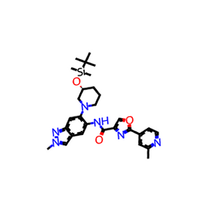 Cc1cc(-c2nc(C(=O)Nc3cc4cn(C)nc4cc3N3CCC[C@@H](O[Si](C)(C)C(C)(C)C)C3)co2)ccn1